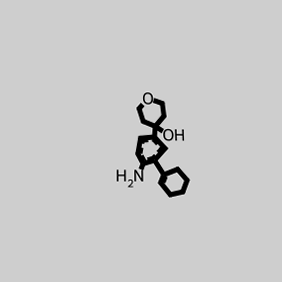 Nc1ccc(C2(O)CCOCC2)cc1C1=CCCCC1